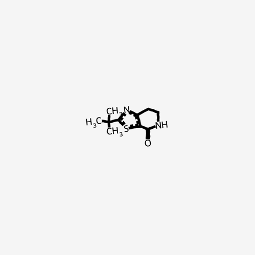 CC(C)(C)c1nc2c(s1)C(=O)NCC2